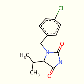 CC(C)C1C(=O)[N]C(=O)N1Cc1ccc(Cl)cc1